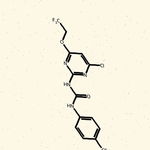 O=C(Nc1ccc(C(F)(F)F)cc1)Nc1nc(Cl)cc(OCC(F)(F)F)n1